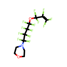 FC(F)=C(F)C(F)(F)OC(F)(F)C(F)(F)C(F)(F)C(F)(F)N1CCOCC1